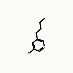 CCCCc1cncc([O])c1